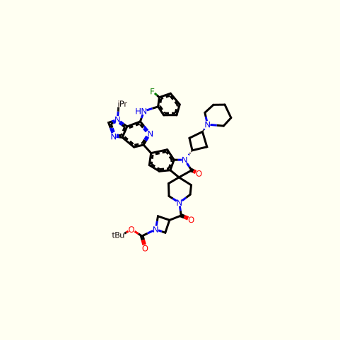 CC(C)n1cnc2cc(-c3ccc4c(c3)N([C@H]3C[C@@H](N5CCCCC5)C3)C(=O)C43CCN(C(=O)C4CN(C(=O)OC(C)(C)C)C4)CC3)nc(Nc3ccccc3F)c21